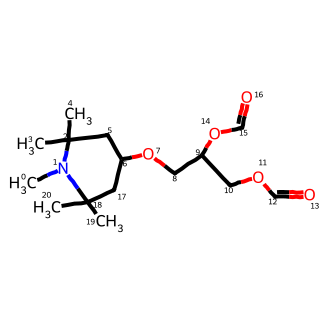 CN1C(C)(C)CC(OCC(COC=O)OC=O)CC1(C)C